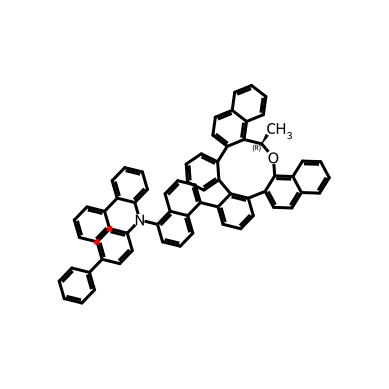 C[C@H]1Oc2c(ccc3ccccc23)-c2cccc(-c3cccc4c(N(c5ccc(-c6ccccc6)cc5)c5ccccc5-c5ccccc5)cccc34)c2-c2ccccc2-c2ccc3ccccc3c21